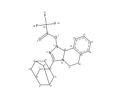 O=C(ON1N=C(C23CC4CC(CC(C4)C2)C3)N2CCc3ccccc3C12)C(F)(F)F